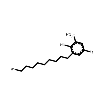 CCc1cc(CCCCCCCCCC(C)C)c(O)c(C(=O)O)c1